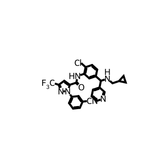 N#Cc1cccc(-n2nc(C(F)(F)F)cc2C(=O)Nc2cc(C(NCC3CC3)c3cccnc3)ccc2Cl)c1